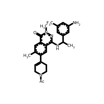 CC(=O)N1CC=C(c2cc3c(NC(C)c4cc(N)cc(C(F)(F)F)c4)nn(C)c(=O)c3cc2C)CC1